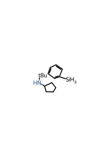 CC(C)(C)NC1CCCC1.[SiH3]c1ccccc1